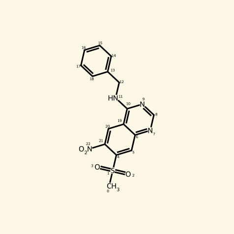 CS(=O)(=O)c1cc2ncnc(NCc3ccccc3)c2cc1[N+](=O)[O-]